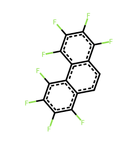 Fc1c(F)c(F)c2c(ccc3c(F)c(F)c(F)c(F)c32)c1F